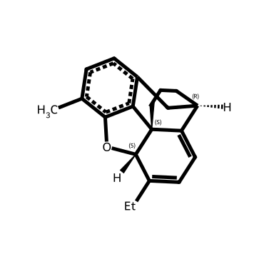 CCC1=CC=C2[C@@H]3CCC[C@@]24c2c(ccc(C)c2O[C@@H]14)C3